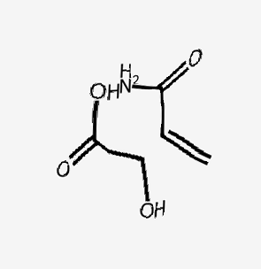 C=CC(N)=O.O=C(O)CO